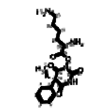 CC[C@@]1(c2ccccc2)C(=O)NC(=O)N(OC(=O)[C@@H](N)CCCCN)C1=O